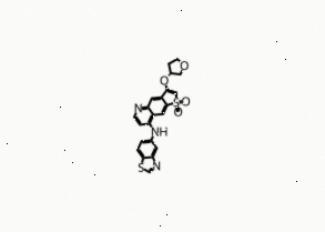 O=S1(=O)C=C(O[C@H]2CCOC2)c2cc3nccc(Nc4ccc5scnc5c4)c3cc21